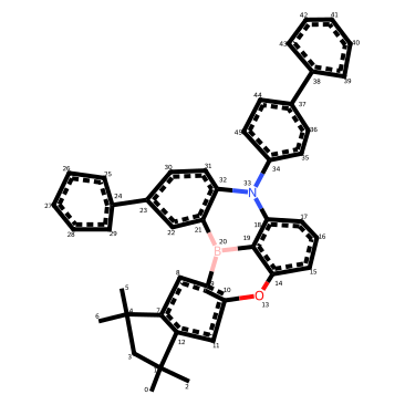 CC1(C)CC(C)(C)c2cc3c(cc21)Oc1cccc2c1B3c1cc(-c3ccccc3)ccc1N2c1ccc(-c2ccccc2)cc1